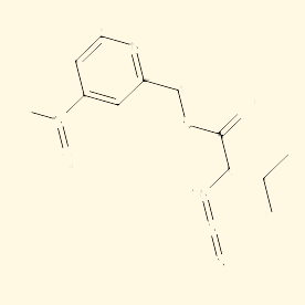 CC(C)[C@H](N=[N+]=[N-])C(=O)NCc1cc([N+](=O)[O-])ccn1